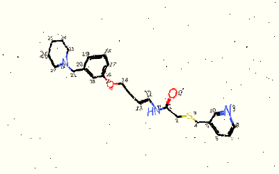 O=C(CSCc1cccnc1)NCCCOc1cccc(CN2CCCCC2)c1